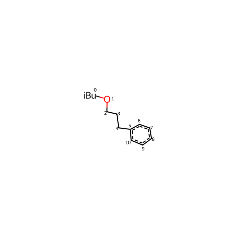 [CH2]C(CC)OCCCc1ccccc1